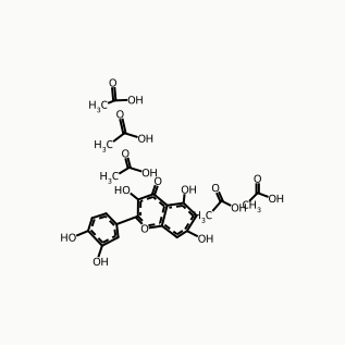 CC(=O)O.CC(=O)O.CC(=O)O.CC(=O)O.CC(=O)O.O=c1c(O)c(-c2ccc(O)c(O)c2)oc2cc(O)cc(O)c12